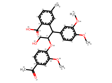 COc1ccc(C(c2cc(C)ccc2C(=O)O)C(CO)Oc2ccc(C(C)=O)cc2OC)cc1OC